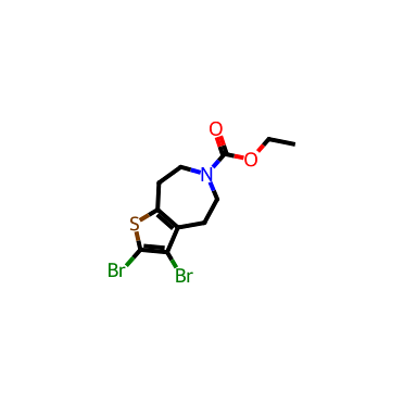 CCOC(=O)N1CCc2sc(Br)c(Br)c2CC1